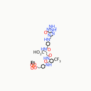 CCOP(=O)(OCC)OCCc1ccc(NC(=O)c2ccc(C(F)(F)F)cc2NC(=O)CC[C@H](NC(=O)c2ccc(NCc3cnc4[nH]c(N)nc(=O)c4n3)cc2)C(=O)O)cc1